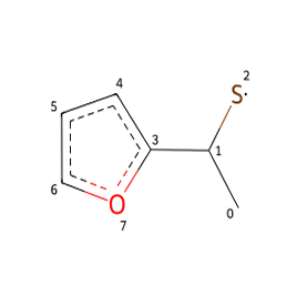 CC([S])c1ccco1